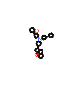 c1ccc(-c2ccc(N(c3ccc(-c4ccc5oc6cccc7ccc4c5c76)cc3)c3ccc4c(c3)oc3ccccc34)cc2)cc1